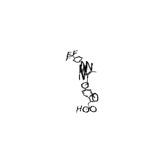 Cc1nn(-c2ccc(C(F)(F)F)cc2)nc1COc1ccc2c(CC(=O)O)coc2c1